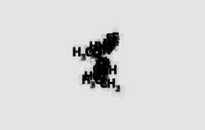 Cc1cc(Nc2nccc(C(F)(F)F)n2)cc(-c2ccc(N[C@H](CC(C)C)C(=O)O)nc2)c1